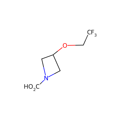 O=C(O)N1CC(OCC(F)(F)F)C1